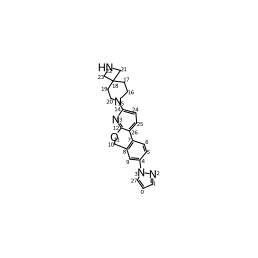 c1cnn(-c2ccc3c(c2)COc2nc(N4CCC5(CC4)CNC5)ccc2-3)c1